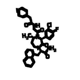 C[C@@H]1CCN([C@H](Cc2cccc3ccccc23)C(N)=O)C(=O)[C@H](c2ccc(F)c(Cl)c2)N1C(=O)CNC(=O)Cc1ccncc1